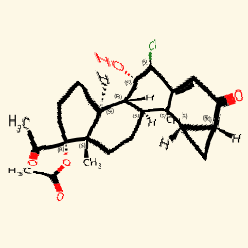 CC(=O)O[C@]1(C(C)=O)CC[C@H]2[C@@H]3[C@H](O)[C@@H](Cl)C4=CC(=O)[C@@H]5C[C@@H]5[C@]4(C)[C@H]3CC[C@@]21C